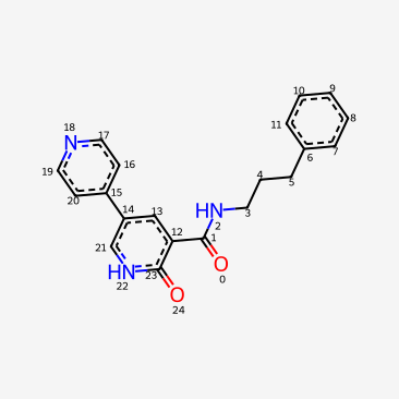 O=C(NCCCc1ccccc1)c1cc(-c2ccncc2)c[nH]c1=O